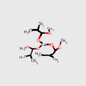 COC([O][La]([O]C(OC)C(C)C)[O]C(OC)C(C)C)C(C)C